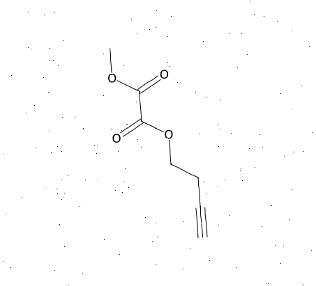 C#CCCOC(=O)C(=O)OC